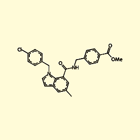 COC(=O)c1ccc(CNC(=O)c2cc(C)cc3ccn(Cc4ccc(Cl)cc4)c23)cc1